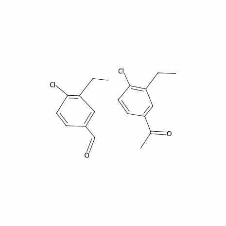 CCc1cc(C(C)=O)ccc1Cl.CCc1cc(C=O)ccc1Cl